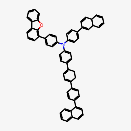 C1=CC2C=CC(c3ccc(N(c4ccc(C5=CC=C(c6ccc(-c7cccc8ccccc78)cc6)CC5)cc4)c4ccc(-c5cccc6c5oc5ccccc56)cc4)cc3)=CC2C=C1